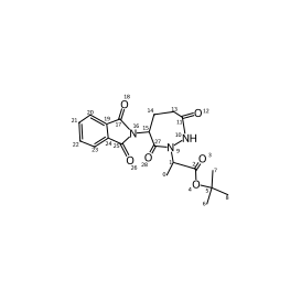 CC(C(=O)OC(C)(C)C)N1NC(=O)CCC(N2C(=O)c3ccccc3C2=O)C1=O